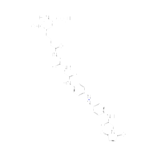 N[C@@H](C[C@H](C=O)CCCC(=O)NCC(=O)NCC(=O)Nc1ccc(/N=N/c2ccc(NC(=O)CN3C(=O)C=CC3=O)cc2)cc1)C(=O)O